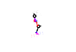 Cc1cc(C#CC(C)NO)cc(OCc2coc(-c3ccc(C(F)(F)F)cc3)n2)c1